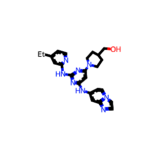 CCc1ccnc(Nc2nc(Nc3ccn4ccnc4c3)cc(N3CCC(CO)CC3)n2)c1